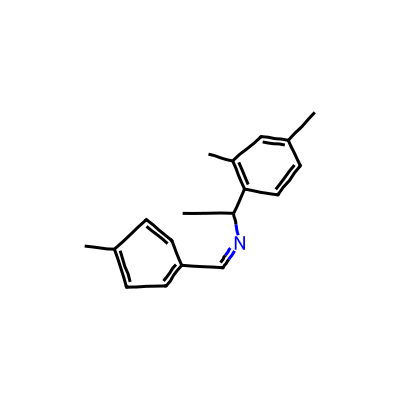 Cc1ccc(/C=N\C(C)c2ccc(C)cc2C)cc1